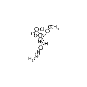 COc1ccc(Cn2cc(-c3c(Cl)cccc3Cl)c(=O)c3cnc(Nc4ccc(N5CCN(C)CC5)cc4)nc32)cc1